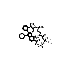 COC(=O)c1ccc2c(C3CCCCC3)c3n(c2c1)CC(CN(C)CCN(C)C(=O)OC(C)(C)C)N(C)c1ccccc1-3